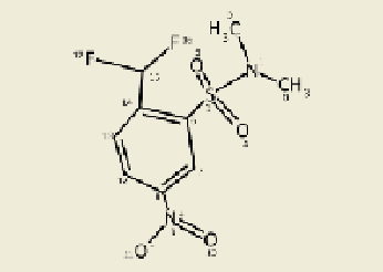 CN(C)S(=O)(=O)c1cc([N+](=O)[O-])ccc1C(F)F